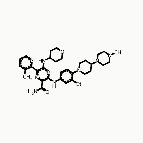 CCc1cc(Nc2nc(NC3CCOCC3)c(-c3ncccc3C)nc2C(N)=O)ccc1N1CCC(N2CCN(C)CC2)CC1